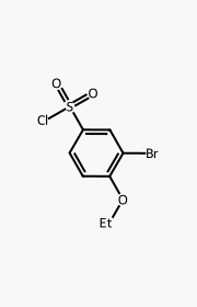 CCOc1ccc(S(=O)(=O)Cl)cc1Br